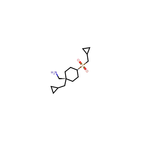 NC[C@]1(CC2CC2)CC[C@H](S(=O)(=O)CC2CC2)CC1